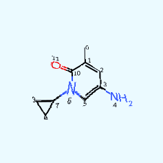 Cc1cc(N)cn(C2CC2)c1=O